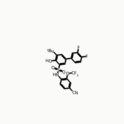 CC(C)(C)c1cc(-c2ccc(F)c(F)c2)cc(S(=O)(=O)Nc2ccc(C#N)cc2OC(F)(F)F)c1O